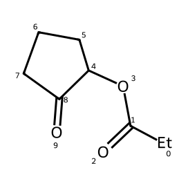 CCC(=O)OC1CCCC1=O